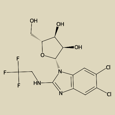 OC[C@H]1O[C@@H](n2c(NCC(F)(F)F)nc3cc(Cl)c(Cl)cc32)[C@H](O)[C@@H]1O